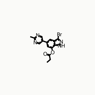 CCC(=O)Oc1cc(-c2cnc(C)nc2)cc2c(Br)n[nH]c12